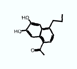 CCCc1ccc(C(C)=O)c2cc(O)c(O)cc12